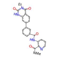 CCn1c(=O)[nH]c2cc(-c3cccc(C(=O)Nc4cccnc4C(=O)NC)c3)ccc2c1=O